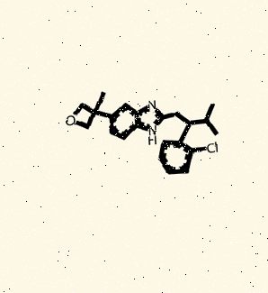 CC(C)C(Cc1nc2cc(C3(C)COC3)ccc2[nH]1)c1ccccc1Cl